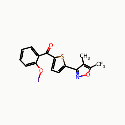 Cc1c(-c2ccc(C(=O)c3ccccc3OI)s2)noc1C(F)(F)F